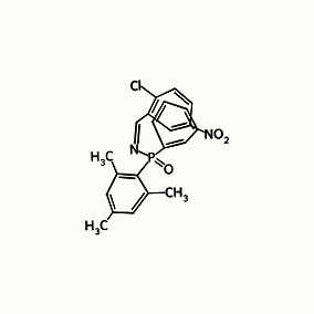 Cc1cc(C)c(P(=O)(/N=C\c2cc([N+](=O)[O-])ccc2Cl)c2ccccc2)c(C)c1